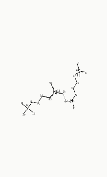 CN(CCCC[SH](C)C)CCN(C)CCCCC(C)(C)C